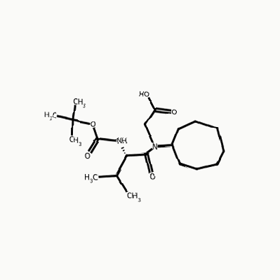 CC(C)[C@H](NC(=O)OC(C)(C)C)C(=O)N(CC(=O)O)C1CCCCCCC1